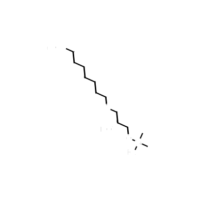 CCCCCCCCCCCCCCCCCOC[C@@H](O)CO[Si](C)(C)C(C)(C)C